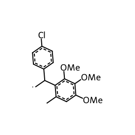 [CH2]C(c1ccc(Cl)cc1)c1c(C)cc(OC)c(OC)c1OC